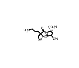 NCCCC(CS)(N=O)C(=O)N1CC(O)C[C@H]1C(=O)O